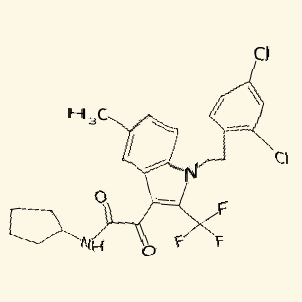 Cc1ccc2c(c1)c(C(=O)C(=O)NC1CCCC1)c(C(F)(F)F)n2Cc1ccc(Cl)cc1Cl